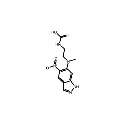 CN(CCNC(=O)O)c1cc2[nH]ncc2cc1[N+](=O)[O-]